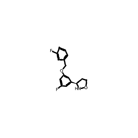 Fc1cccc(COc2cc(F)cc([C@H]3CCON3)c2)c1